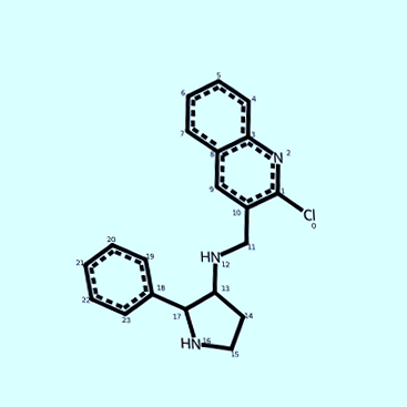 Clc1nc2ccccc2cc1CNC1CCNC1c1ccccc1